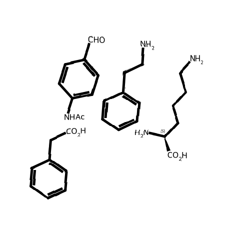 CC(=O)Nc1ccc(C=O)cc1.NCCCC[C@H](N)C(=O)O.NCCc1ccccc1.O=C(O)Cc1ccccc1